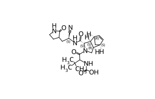 CC(C)(C)C(NC(=O)O)C(=O)N1C[C@H]2[C@@H]([C@H]1C(=O)N[C@H](C#N)CC1CCNC1=O)[C@H]1C=C[C@@H]2C1